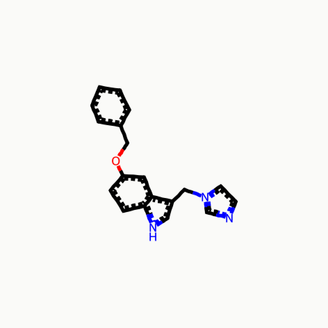 c1ccc(COc2ccc3[nH]cc(Cn4ccnc4)c3c2)cc1